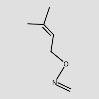 C=NOCC=C(C)C